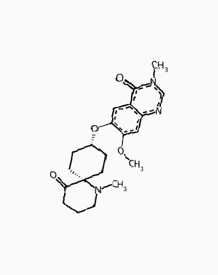 COc1cc2ncn(C)c(=O)c2cc1O[C@H]1CC[C@@]2(CC1)C(=O)CCCN2C